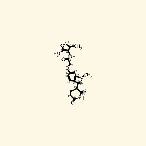 Cc1noc(C)c1NC(=O)COc1ccc2c(C3CCC(=O)NC3=O)nn(C)c2c1